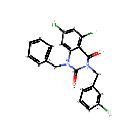 O=c1c2c(Cl)cc(Cl)cc2n(Cc2ccccc2)c(=O)n1Cc1cccc(Cl)c1